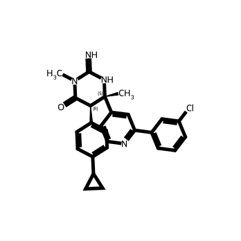 CN1C(=N)N[C@](C)(c2ccnc(-c3cccc(Cl)c3)c2)[C@@H](c2ccc(C3CC3)cc2)C1=O